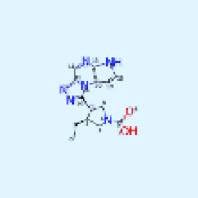 CC[C@@H]1CN(C(=O)O)C[C@@H]1c1nnc2cnc3[nH]ccc3n12